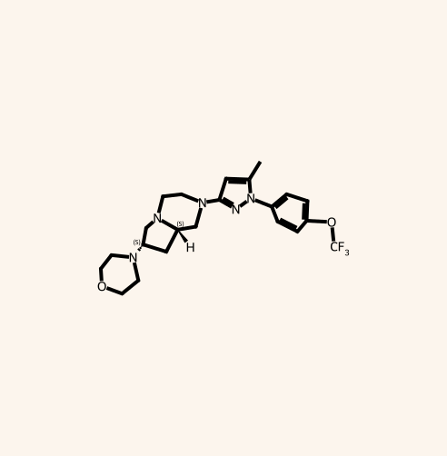 Cc1cc(N2CCN3C[C@@H](N4CCOCC4)C[C@H]3C2)nn1-c1ccc(OC(F)(F)F)cc1